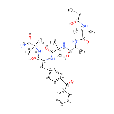 CCC(=O)NC(C)(C)C(=O)N[C@H](C)C(=O)NC(C)(C)C(=O)NC(Cc1ccc(C(=O)c2ccccc2)cc1)C(=O)NC(C)(C)C(N)=O